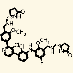 COc1cc(-c2nccc(-c3cccc(Nc4cc(F)cc(CNC[C@@H]5CCC(=O)N5)c4OC)c3Cl)c2Cl)ccc1CNC[C@@H]1CCC(=O)N1